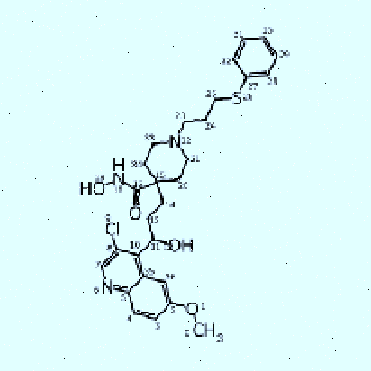 COc1ccc2ncc(Cl)c([C@H](O)CCC3(C(=O)NO)CCN(CCCSc4ccccc4)CC3)c2c1